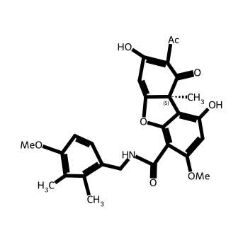 COc1ccc(CNC(=O)c2c(OC)cc(O)c3c2OC2=CC(O)=C(C(C)=O)C(=O)[C@]23C)c(C)c1C